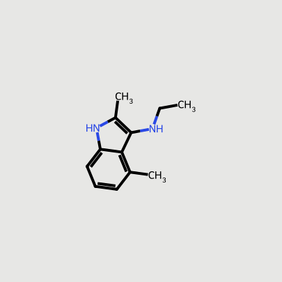 CCNc1c(C)[nH]c2cccc(C)c12